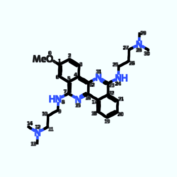 COc1ccc2c(c1)c(NCCCN(C)C)nc1c3ccccc3c(NCCCN(C)C)nc21